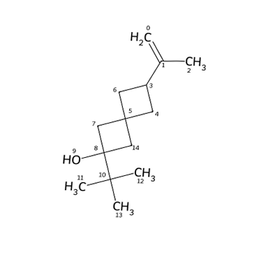 C=C(C)C1CC2(C1)CC(O)(C(C)(C)C)C2